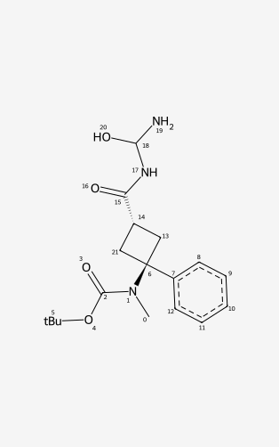 CN(C(=O)OC(C)(C)C)[C@]1(c2ccccc2)C[C@@H](C(=O)NC(N)O)C1